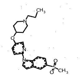 CCCN1CCC(Oc2ccc(-n3ccc4cc(S(C)(=O)=O)ccc43)nc2)CC1